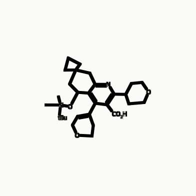 CC(C)(C)[Si](C)(C)OC1CC2(CCC2)Cc2nc(C3CCOCC3)c(C(=O)O)c(C3=CCOCC3)c21